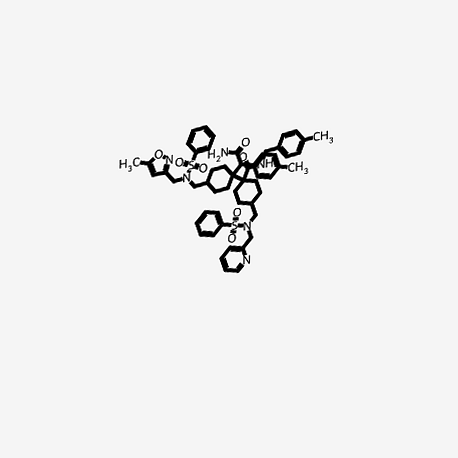 Cc1ccc(CNC(=O)C2(C3(C(C(N)=O)c4ccc(C)cc4)CCC(CN(Cc4cc(C)on4)S(=O)(=O)c4ccccc4)CC3)CCC(CN(Cc3ccccn3)S(=O)(=O)c3ccccc3)CC2)cc1